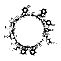 CCCC[C@H]1C(=O)N(C)CC(=O)N[C@@H](CC(=O)O)C(=O)N[C@@H](C(C)C)C(=O)N(C)[C@@H](C)C(=O)N[C@@H](Cc2ccc(O)cc2)C(=O)N(C)CC(=O)N[C@@H](Cc2c[nH]c3ccccc23)C(=O)N[C@@H](Cc2ccc(O)cc2)C(=O)N[C@@H](CC(C)C)C(=O)N[C@@H](C(=O)NCC(N)=O)CSCC(=O)N[C@@H](Cc2ccccc2)C(=O)N(C)[C@@H](Cc2ccccc2)C(=O)N1C